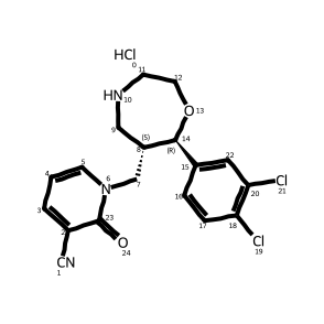 Cl.N#Cc1cccn(C[C@@H]2CNCCO[C@H]2c2ccc(Cl)c(Cl)c2)c1=O